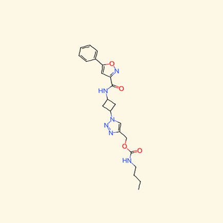 CCCCNC(=O)OCc1cn(C2CC(NC(=O)c3cc(-c4ccccc4)on3)C2)nn1